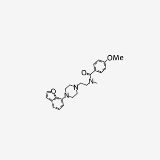 COc1ccc(C(=O)N(C)CCN2CCN(c3cccc4ccoc34)CC2)cc1